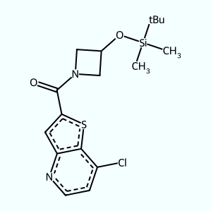 CC(C)(C)[Si](C)(C)OC1CN(C(=O)c2cc3nccc(Cl)c3s2)C1